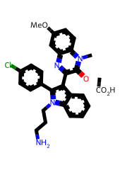 CC(=O)O.COc1ccc2c(c1)nc(-c1c(-c3ccc(Cl)cc3)n(CCCN)c3ccccc13)c(=O)n2C